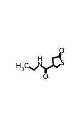 CCNC(=O)C1CSC(=O)C1